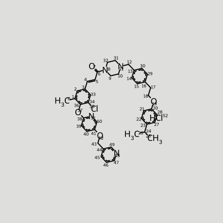 Cc1cc(/C=C/C(=O)N2CCN(Cc3ccc(CCOc4ccc(C(C)C)cc4)cc3)CC2)cc(Cl)c1Oc1ccc(OCc2cccnc2)cn1.Cl